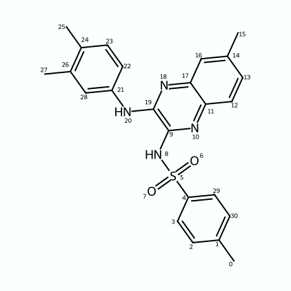 Cc1ccc(S(=O)(=O)Nc2nc3ccc(C)cc3nc2Nc2ccc(C)c(C)c2)cc1